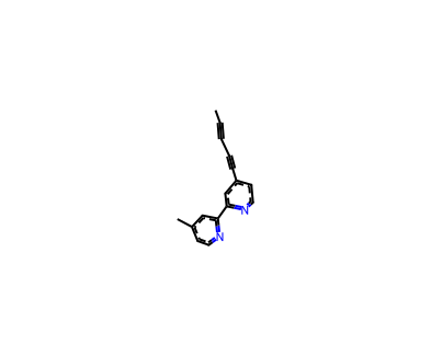 CC#CC#Cc1ccnc(-c2cc(C)ccn2)c1